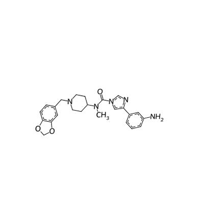 CN(C(=O)n1cnc(-c2cccc(N)c2)c1)C1CCN(Cc2ccc3c(c2)OCO3)CC1